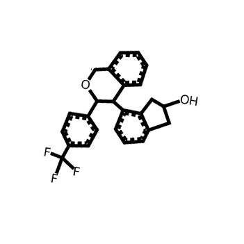 OC1Cc2cccc(C3c4ccccc4[CH]OC3c3ccc(C(F)(F)F)cc3)c2C1